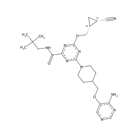 CC(C)(C)CNC(=O)c1nc(OC[C@@H]2C[C@@H]2C#N)nc(N2CCC(COc3cncnc3N)CC2)n1